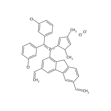 C=Cc1ccc2c(c1)-c1cc(C=C)c[c]([Zr+2]([C]3=CC(C)=CC3C)=[C](c3cccc(Cl)c3)c3cccc(Cl)c3)c1C2.[Cl-].[Cl-]